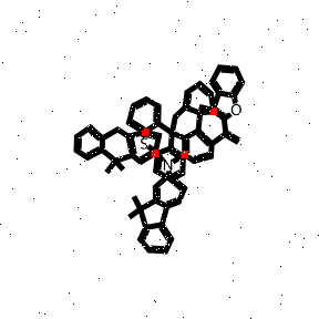 C=C(c1ccc(N(c2ccc3c(c2)C(C)(C)c2ccccc2C3)c2ccc3c(c2)C(C)(C)c2ccccc2-3)c2c1-c1ccccc1CC21c2ccccc2Sc2ccccc21)c1oc2ccccc2c1C